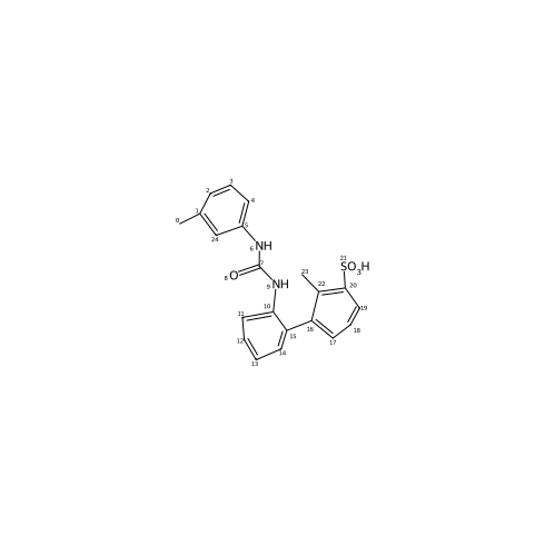 Cc1cccc(NC(=O)Nc2ccccc2-c2cccc(S(=O)(=O)O)c2C)c1